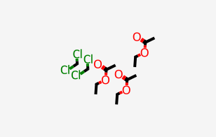 CCOC(C)=O.CCOC(C)=O.CCOC(C)=O.ClCCl.ClCCl